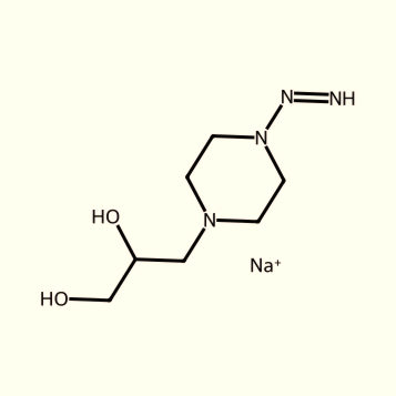 N=NN1CCN(CC(O)CO)CC1.[Na+]